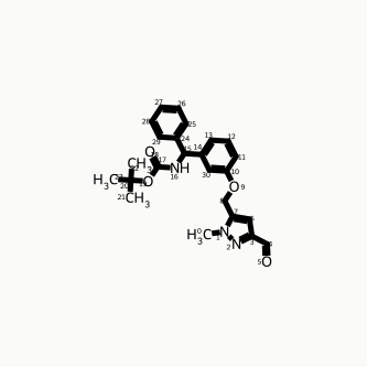 Cn1nc(C=O)cc1COc1cccc(C(NC(=O)OC(C)(C)C)c2ccccc2)c1